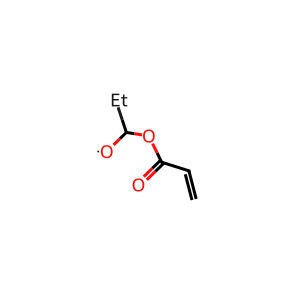 C=CC(=O)OC([O])CC